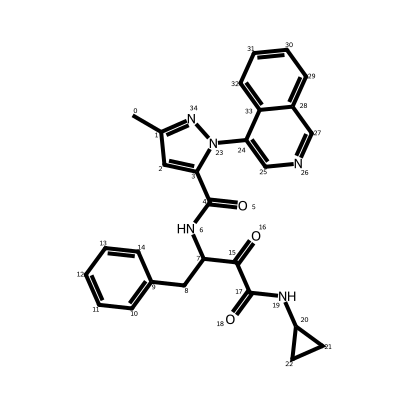 Cc1cc(C(=O)NC(Cc2ccccc2)C(=O)C(=O)NC2CC2)n(-c2cncc3ccccc23)n1